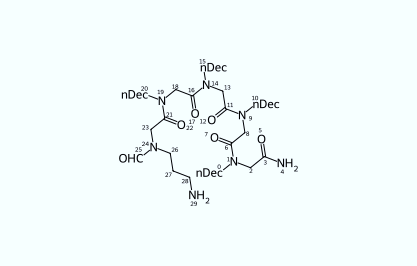 CCCCCCCCCCN(CC(N)=O)C(=O)CN(CCCCCCCCCC)C(=O)CN(CCCCCCCCCC)C(=O)CN(CCCCCCCCCC)C(=O)CN(C=O)CCCN